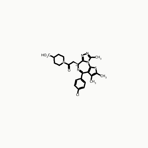 Cc1sc2c(c1C)C(c1ccc(Cl)cc1)=N[C@@H](CC(=O)N1CCC(C(=O)O)CC1)c1nnc(C)n1-2